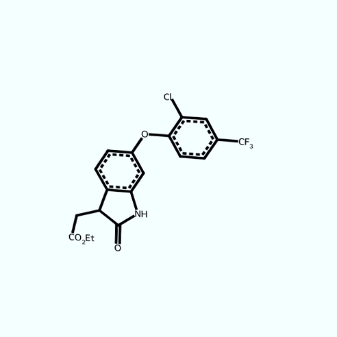 CCOC(=O)CC1C(=O)Nc2cc(Oc3ccc(C(F)(F)F)cc3Cl)ccc21